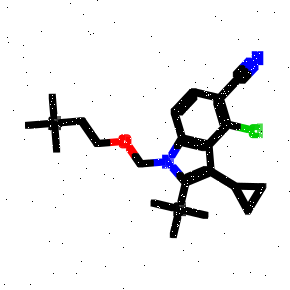 C[Si](C)(C)CCOCn1c([Si](C)(C)C)c(C2CC2)c2c(Cl)c(C#N)ccc21